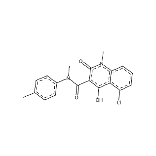 Cc1ccc(N(C)C(=O)c2c(O)c3c(Cl)cccc3n(C)c2=O)cc1